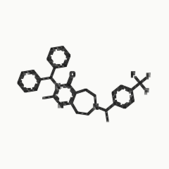 Cc1nc2c(c(=O)n1C(c1ccccc1)c1ccccc1)CCN(C(C)c1ccc(C(F)(F)F)cc1)CC2